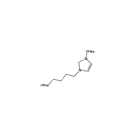 CCCCCCCCCCCCCN1C=CN(CCCCCC)C1